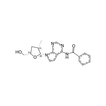 C[C@H]1C[C@@H](CO)O[C@H]1n1ccc2c(NC(=O)c3ccccc3)ncnc21